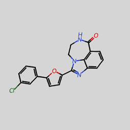 O=C1NCCn2c(-c3ccc(-c4cccc(Cl)c4)o3)nc3cccc1c32